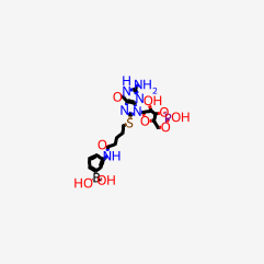 Nc1nc2c(nc(SCCCCC(=O)Nc3cccc(B(O)O)c3)n2C2OC3COP(O)OC3C2O)c(=O)[nH]1